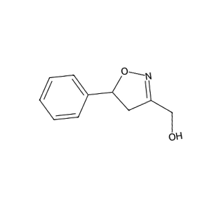 OCC1=NOC(c2ccccc2)C1